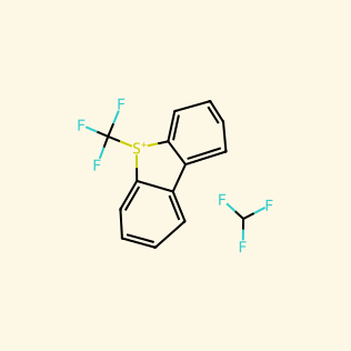 FC(F)(F)[s+]1c2ccccc2c2ccccc21.FC(F)F